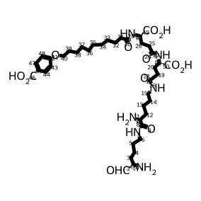 N[C@H](C=O)CCCCNC(=O)[C@@H](N)CCCCNC(=O)CC[C@H](NC(=O)CC[C@H](NC(=O)CCCCCCCCCCOc1ccc(C(=O)O)cc1)C(=O)O)C(=O)O